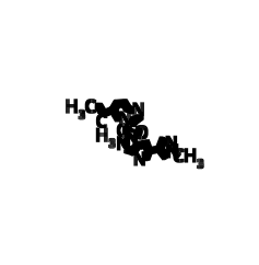 C/C=C(\C)c1ccc2ncc(S(=O)(=O)n3ncc4ncc(-c5cnn(C)c5)cc43)n2c1